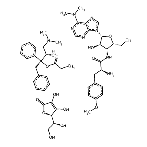 CCC(=O)O[C@](Cc1ccccc1)(c1ccccc1)[C@H](C)CN(C)C.COc1ccc(C[C@H](N)C(=O)N[C@H]2[C@@H](O)[C@H](n3cnc4c(N(C)C)ncnc43)O[C@@H]2CO)cc1.O=C1O[C@H]([C@@H](O)CO)C(O)=C1O